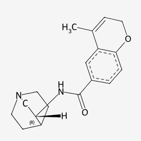 CC1=CCOc2ccc(C(=O)N[C@H]3CN4CCC3CC4)cc21